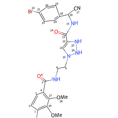 COc1ccc(C(=O)NCCN2C=C(C(=O)NC(C#N)c3ccc(Br)cc3)NN2)c(OC)c1OC